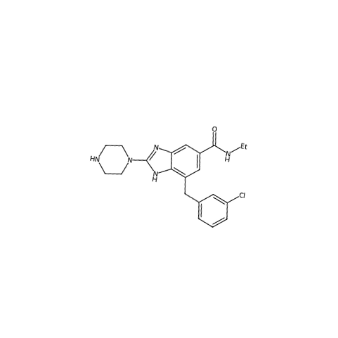 CCNC(=O)c1cc(Cc2cccc(Cl)c2)c2[nH]c(N3CCNCC3)nc2c1